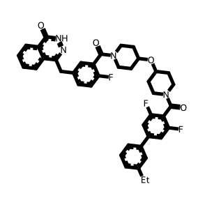 CCc1cccc(-c2cc(F)c(C(=O)N3CCC(OC4CCN(C(=O)c5cc(Cc6n[nH]c(=O)c7ccccc67)ccc5F)CC4)CC3)c(F)c2)c1